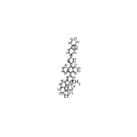 CCC1CC2CC(C)C3(c4ccc(-c5c6ccccc6c(-c6ccc(-c7ccc8c9c(oc8c7)CCC=C9)cc6)c6ccccc56)cc4-c4ccc5ccccc5c43)C(C1)C2